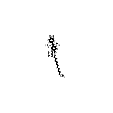 CCCCCCCCCCCCC[PH](O)(O)Oc1ccc(C(C)(C)c2ccc(O)cc2)cc1